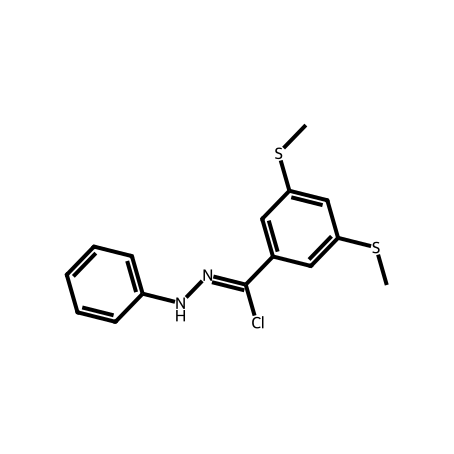 CSc1cc(SC)cc(C(Cl)=NNc2ccccc2)c1